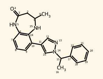 CC1CC(=O)Nc2cccc(-c3cnn(C(C)c4ccccc4)c3)c2N1